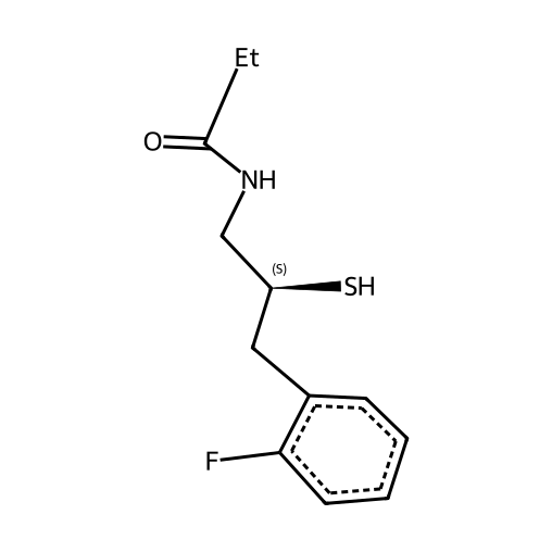 [CH2]CC(=O)NC[C@@H](S)Cc1ccccc1F